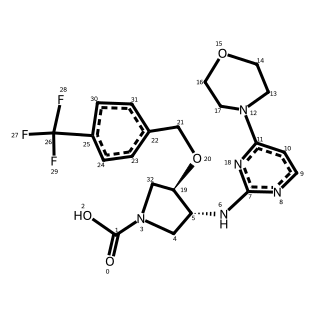 O=C(O)N1C[C@@H](Nc2nccc(N3CCOCC3)n2)[C@H](OCc2ccc(C(F)(F)F)cc2)C1